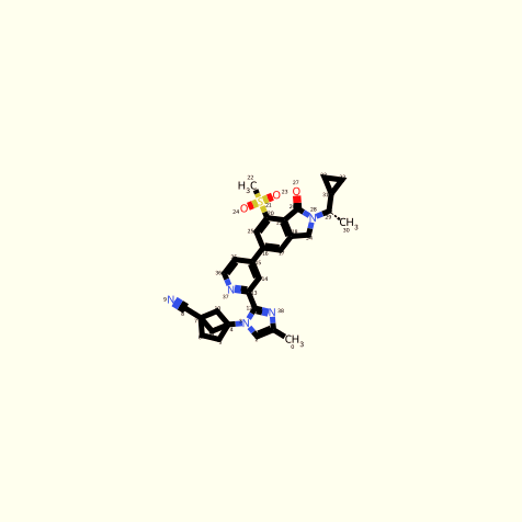 Cc1cn(C23CCC(C#N)(C2)C3)c(-c2cc(-c3cc4c(c(S(C)(=O)=O)c3)C(=O)N([C@@H](C)C3CC3)C4)ccn2)n1